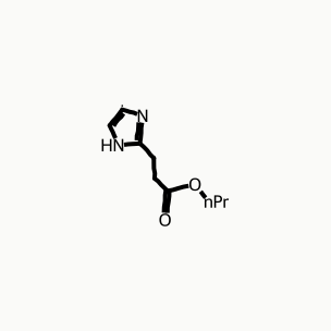 CCCOC(=O)CCc1n[c]c[nH]1